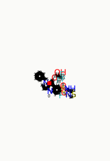 CN(c1cc(F)c(S(=O)(=O)Nc2cscn2)cc1C1CC1)[C@H]1CCN(Cc2ccccc2)C1.O=C(O)C(F)(F)F